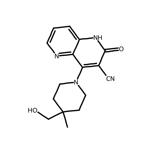 CC1(CO)CCN(c2c(C#N)c(=O)[nH]c3cccnc23)CC1